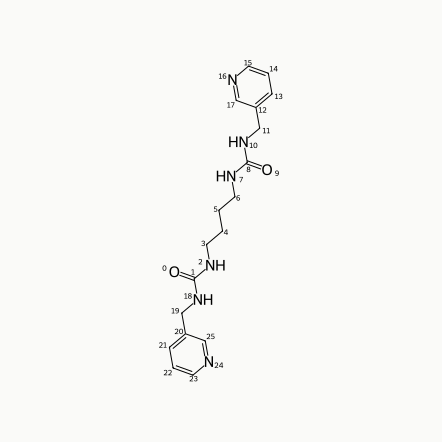 O=C(NCCCCNC(=O)NCc1cccnc1)NCc1cccnc1